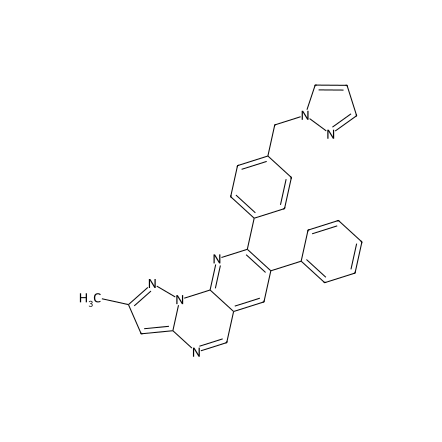 Cc1cc2ncc3cc(-c4ccccc4)c(-c4ccc(Cn5cccn5)cc4)nc3n2n1